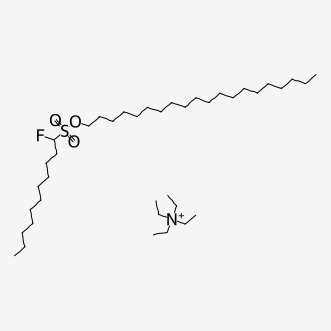 CCCCCCCCCCCCCCCCCCCCOS(=O)(=O)C(F)CCCCCCCCCC.CC[N+](CC)(CC)CC